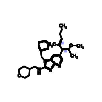 CCC/C=C(C)/C(=C(/C)OC)c1cnc2nc(NCC3CCOCC3)n(Cc3ccccc3)c2c1